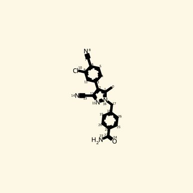 Cc1c(-c2ccc(C#N)c(Cl)c2)c(C#N)nn1Cc1ccc(C(N)=O)cc1